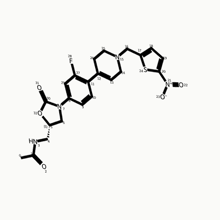 CC(=O)NC[C@H]1CN(c2ccc(C3=CCN(Cc4ccc([N+](=O)[O-])s4)CC3)c(F)c2)C(=O)O1